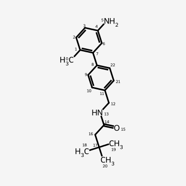 Cc1ccc(N)cc1-c1ccc(CNC(=O)CC(C)(C)C)cc1